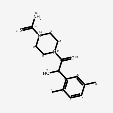 Cc1ccc(C)c(C(O)C(=O)N2CCN(C(N)=S)CC2)c1